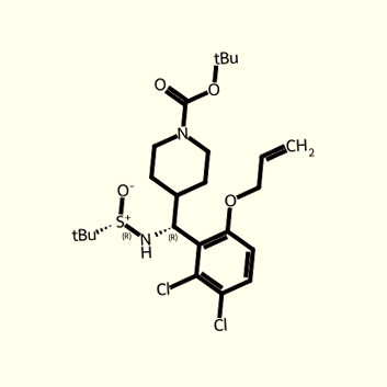 C=CCOc1ccc(Cl)c(Cl)c1[C@H](N[S@@+]([O-])C(C)(C)C)C1CCN(C(=O)OC(C)(C)C)CC1